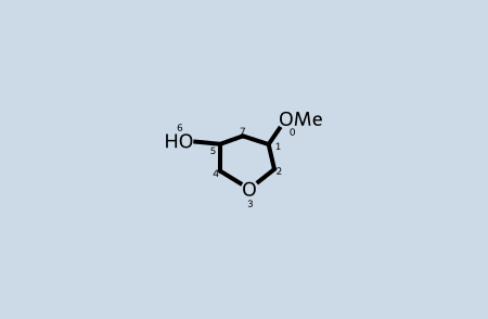 COC1COCC(O)C1